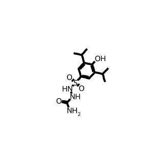 CC(C)c1cc(S(=O)(=O)NNC(N)=O)cc(C(C)C)c1O